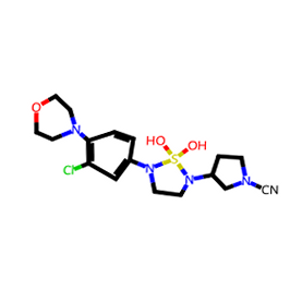 N#CN1CCC(N2CCN(c3ccc(N4CCOCC4)c(Cl)c3)S2(O)O)C1